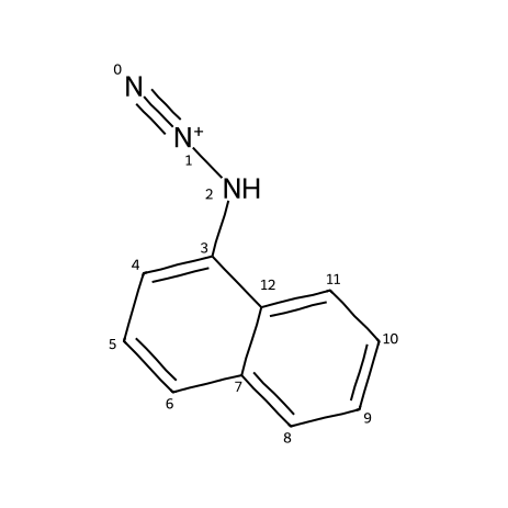 N#[N+]Nc1cccc2ccccc12